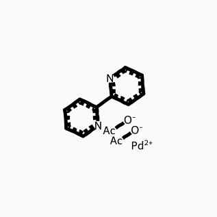 CC(=O)[O-].CC(=O)[O-].[Pd+2].c1ccc(-c2ccccn2)nc1